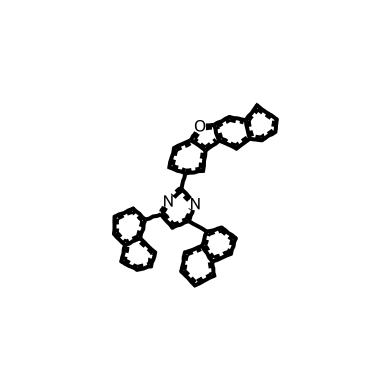 c1ccc2cc3c(cc2c1)oc1ccc(-c2nc(-c4cccc5ccccc45)cc(-c4cccc5ccccc45)n2)cc13